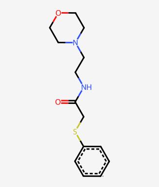 O=C(CSc1cc[c]cc1)NCCN1CCOCC1